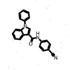 N#Cc1ccc(NC(=O)c2cn(-c3ccccc3)c3ccccc23)cc1